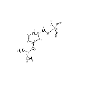 CC(C)Oc1ccnc(OCC(F)(F)F)c1